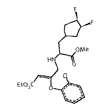 CCOC(=O)/C=C(/CNC(CC1C[C@@H](F)[C@@H](F)C1)C(=O)OC)Oc1ccccc1Cl